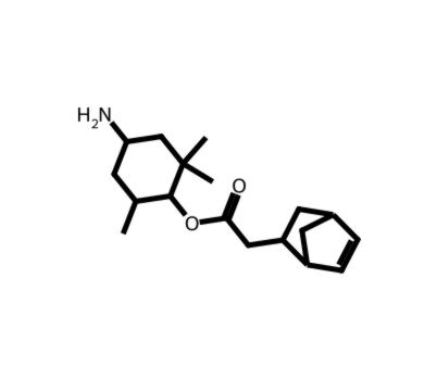 CC1CC(N)CC(C)(C)C1OC(=O)CC1CC2C=CC1C2